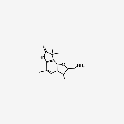 Cc1cc2c(c3c1NC(=S)C3(C)C)OC(CN)C2C